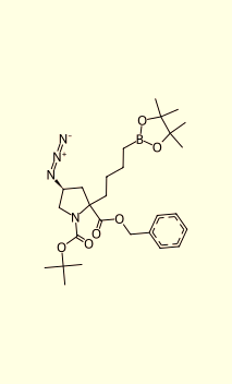 CC(C)(C)OC(=O)N1C[C@@H](N=[N+]=[N-])CC1(CCCCB1OC(C)(C)C(C)(C)O1)C(=O)OCc1ccccc1